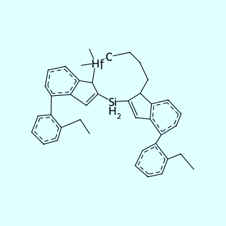 CCc1ccccc1-c1cccc2c1C=C1[SiH2]C3=Cc4c(-c5ccccc5CC)cccc4[CH]3[Hf]([CH3])([CH3])[CH2]CCCC12